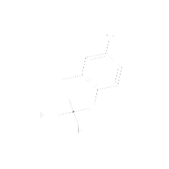 [O]c1ccc(OC(F)(F)C(F)(F)F)c(Cl)c1